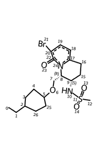 CCC1CCC(OC[C@H]2[C@@H](NS(C)(=O)=O)CCc3ccc(Br)c(=O)n32)CC1